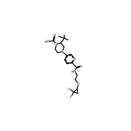 CC(C)(C)C1CN(c2ccc(C(=O)NCCOC3CC3(F)F)nc2)CCN1C(=O)O